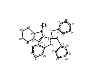 CCC1[C]([Ti]([CH2]c2ccccc2)([CH2]c2ccccc2)[CH2]c2ccccc2)=CC2=C1CCCC2